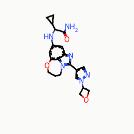 NC(=O)[C@@H](Nc1cc2c3c(c1)nc(-c1cnn(C4COC4)c1)n3CCCO2)C1CC1